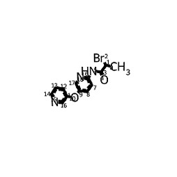 CC(Br)C(=O)Nc1ccc(Oc2cccnc2)cn1